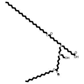 CCCCCCCCCCCCCCCCCCCCCCCCOC(=O)CCCCCCN(CCCCCCC(=O)O)CCCN(CCO)CCCCCCC(=C=O)OCCCCCCCCCCCCCC